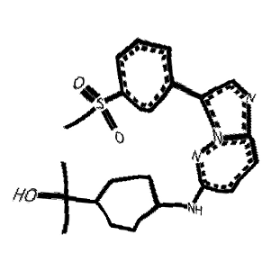 CC(C)(O)C1CCC(Nc2ccc3ncc(-c4cccc(S(C)(=O)=O)c4)n3n2)CC1